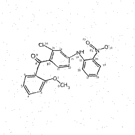 COc1ccccc1C(=O)c1ccc(Nc2ccccc2[N+](=O)[O-])cc1Cl